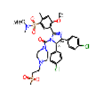 CCOc1cc(C)c(S(=O)(=O)N(C)OC)cc1C1=N[C@@H](c2ccc(Cl)cc2)[C@@H](c2ccc(Cl)cc2)N1C(=O)N1CCN(CCS(C)(=O)=O)CC1